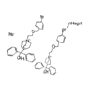 CCCCCCCC.OC(c1ccccc1)(c1ccccc1)C12CC[N+](CCOCc3ccc(Br)cc3)(CC1)CC2.OC(c1ccccc1)(c1ccccc1)C12CC[N+](CCOCc3ccc(Br)cc3)(CC1)CC2.[Br-].[Br-]